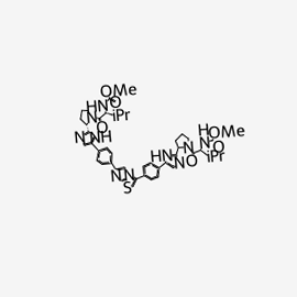 COC(=O)NC(C(=O)N1CCCC1c1ncc(-c2ccc(-c3csc4nc(-c5ccc(-c6cnc([C@@H]7CCCN7C(=O)[C@@H](NC(=O)OC)C(C)C)[nH]6)cc5)cn34)cc2)[nH]1)C(C)C